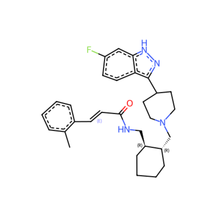 Cc1ccccc1/C=C/C(=O)NC[C@@H]1CCCC[C@H]1CN1CCC(c2n[nH]c3cc(F)ccc23)CC1